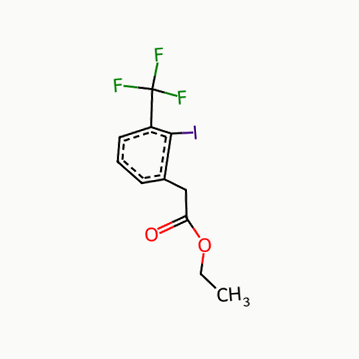 CCOC(=O)Cc1cccc(C(F)(F)F)c1I